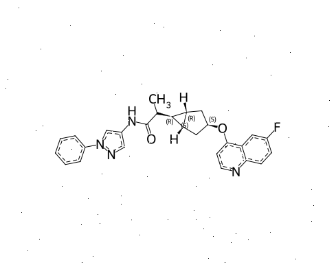 CC(C(=O)Nc1cnn(-c2ccccc2)c1)[C@H]1[C@@H]2C[C@@H](Oc3ccnc4ccc(F)cc34)C[C@@H]21